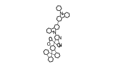 c1ccc(-n2c3ccccc3c3cc(-c4ccc5c(c4)c4ccccc4n5-c4cnc5c(c4)C4(c6ccccc6Oc6cc7c(cc64)-c4ccccc4C74c6ccccc6-c6ccccc64)c4cccnc4-5)ccc32)cc1